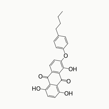 CCCCc1ccc(Oc2ccc3c(c2O)C(=O)c2c(O)ccc(O)c2C3=O)cc1